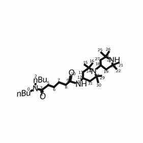 CCCCN(CCCC)C(=O)CCCCC(=O)NC1CC(C)(C)N(C2CC(C)(C)NC(C)(C)C2)C(C)(C)C1